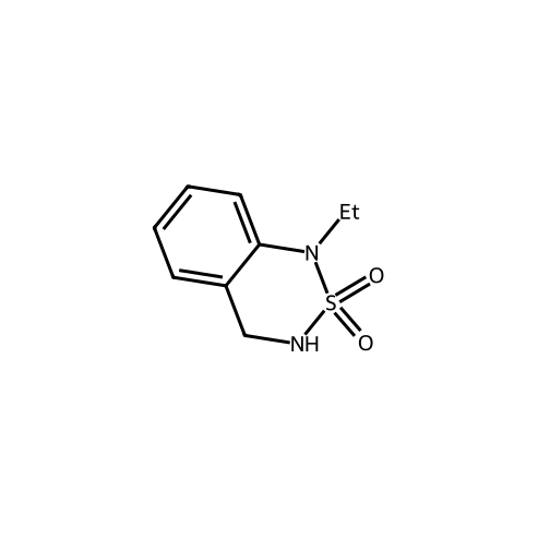 CCN1c2ccccc2CNS1(=O)=O